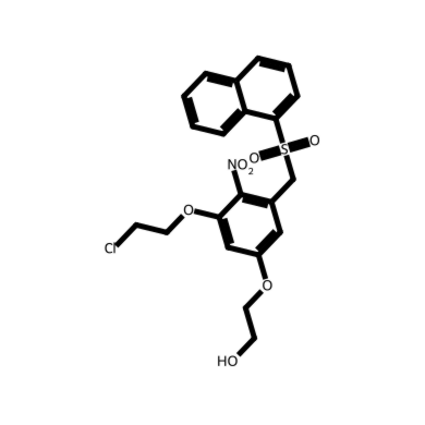 O=[N+]([O-])c1c(CS(=O)(=O)c2cccc3ccccc23)cc(OCCO)cc1OCCCl